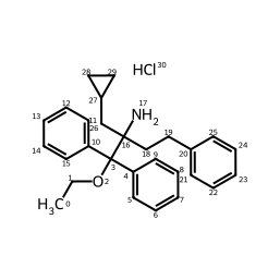 CCOC(c1ccccc1)(c1ccccc1)C(N)(CCc1ccccc1)CC1CC1.Cl